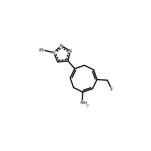 CC(C)n1cc(/C2=C/C/C(N)=C\C(CF)=C/C2)nn1